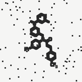 Cc1cc(N(C)c2cccc(CN(C(=O)C=Cc3ccc(C(F)(F)F)cc3)C3CCN(C(C)C)CC3)c2)ccn1